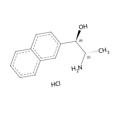 C[C@H](N)[C@H](O)c1ccc2ccccc2c1.Cl